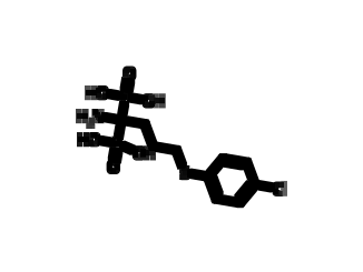 NC(CCCSc1ccc(Cl)cc1)(P(=O)(O)O)P(=O)(O)O